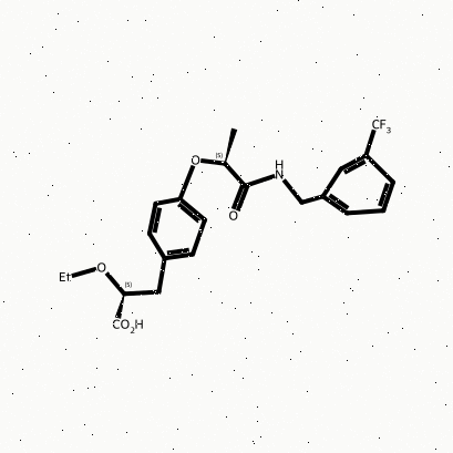 CCO[C@@H](Cc1ccc(O[C@@H](C)C(=O)NCc2cccc(C(F)(F)F)c2)cc1)C(=O)O